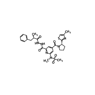 Cc1csc([C@H]2CCCN2C(=O)c2cc(C(=O)NNC(=O)[C@H](C)Cc3ccccc3)nc(N(C)S(C)(=O)=O)c2)n1